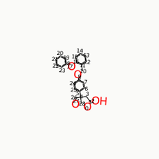 O=C(O)CC1(c2ccc(OCc3ccccc3Oc3ccccc3)cc2)COC1